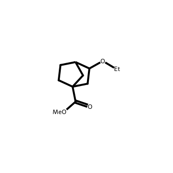 CCOC1CC2(C(=O)OC)CCC1C2